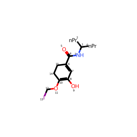 CCCC(CCC)NC(=O)C1=CC(O)=C(OCI)CC1